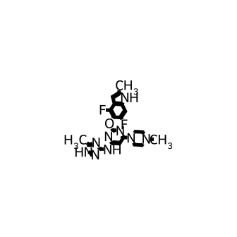 Cc1cc2c(F)c(Oc3nc(Nc4n[nH]c(C)n4)cc(N4CCN(C)CC4)n3)c(F)cc2[nH]1